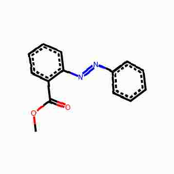 COC(=O)c1ccccc1/N=N/c1ccccc1